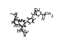 CNCCN(C)Cc1cccc(-c2nc(NC3CC3)c3cnn(C4CC4)c3n2)c1